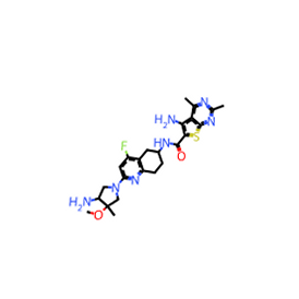 COC1(C)CN(c2cc(F)c3c(n2)CCC(NC(=O)c2sc4nc(C)nc(C)c4c2N)C3)CC1N